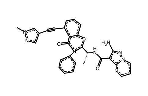 C[C@@H](NC(=O)c1c(N)nn2cccnc12)c1nc2cccc(C#Cc3cnn(C)c3)c2c(=O)n1-c1ccccc1